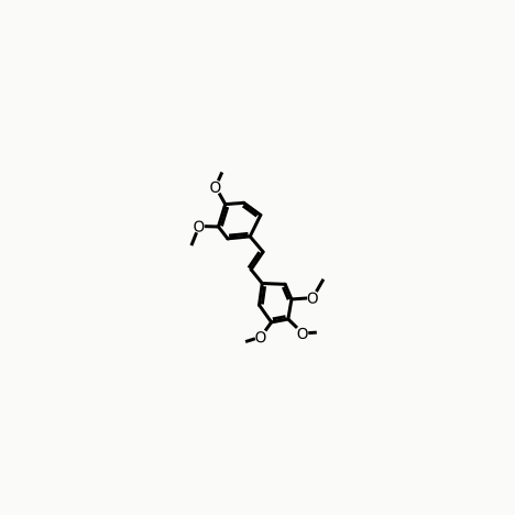 COc1ccc(C=Cc2cc(OC)c(OC)c(OC)c2)cc1OC